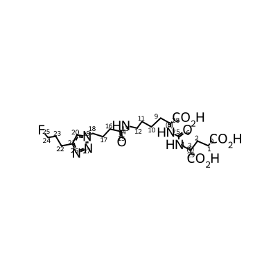 O=C(O)CC[C@H](NC(=O)N[C@@H](CCCCNC(=O)CCCn1cc(CCCF)nn1)C(=O)O)C(=O)O